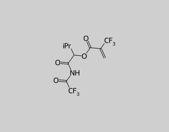 C=C(C(=O)OC(C(=O)NC(=O)C(F)(F)F)C(C)C)C(F)(F)F